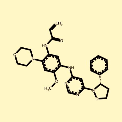 C=CC(=O)Nc1cc(Nc2cc(N3OCC[C@H]3c3ccccc3)ncn2)c(OC)cc1N1CCOCC1